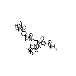 CCNC(=O)NC1CCC(OC(=O)NCCCn2c(NC(=O)c3cc(C)nn3CC)nc3cc(C(N)=O)cc(OC)c32)CC1